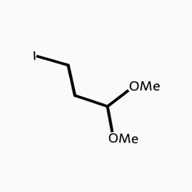 COC(CCI)OC